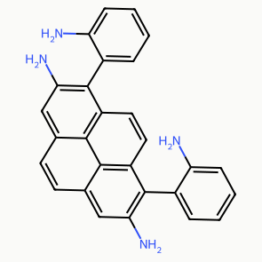 Nc1ccccc1-c1c(N)cc2ccc3cc(N)c(-c4ccccc4N)c4ccc1c2c34